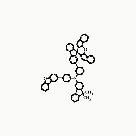 CC1(C)c2ccccc2-c2cc(N(c3ccc(-c4ccc5oc6ccccc6c5c4)cc3)c3cccc(-c4ccc5c(c4)C4(c6ccccc6-5)c5ccc6ccccc6c5Oc5c4ccc4ccccc54)c3)ccc21